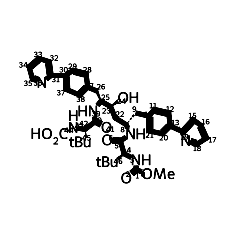 COC(=O)N[C@H](C(=O)N[C@@H](Cc1ccc(-c2ccccn2)cc1)C[C@H](O)[C@H](Cc1ccc(-c2ccccn2)cc1)NC(=O)[C@@H](NC(=O)O)C(C)(C)C)C(C)(C)C